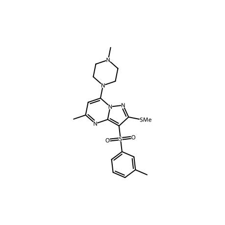 CSc1nn2c(N3CCN(C)CC3)cc(C)nc2c1S(=O)(=O)c1cccc(C)c1